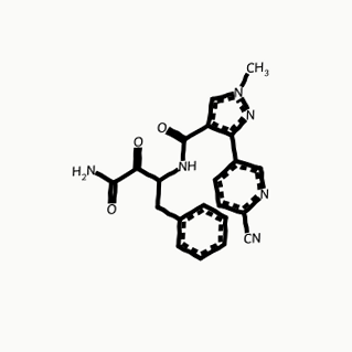 Cn1cc(C(=O)NC(Cc2ccccc2)C(=O)C(N)=O)c(-c2ccc(C#N)nc2)n1